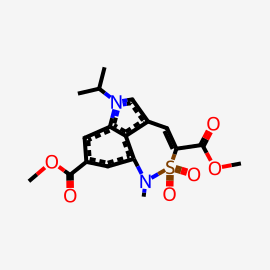 COC(=O)C1=Cc2cn(C(C)C)c3cc(C(=O)OC)cc(c23)N(C)S1(=O)=O